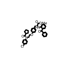 COC(=O)[C@H](Cc1ccc(OCCN(C(=O)C2CCCC2)c2ccc(Cl)cc2)cc1)Nc1ccccc1C(=O)c1ccccc1